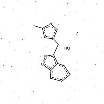 Cc1cn(Cc2noc3ccccc23)cn1.Cl